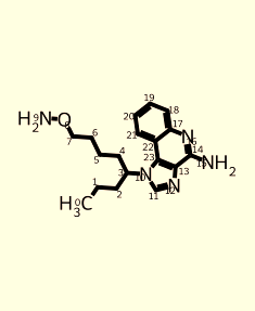 CCCC(CCCCON)n1cnc2c(N)nc3ccccc3c21